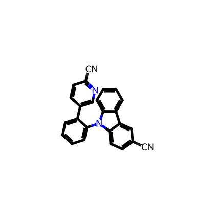 N#Cc1ccc2c(c1)c1ccccc1n2-c1ccccc1-c1ccc(C#N)nc1